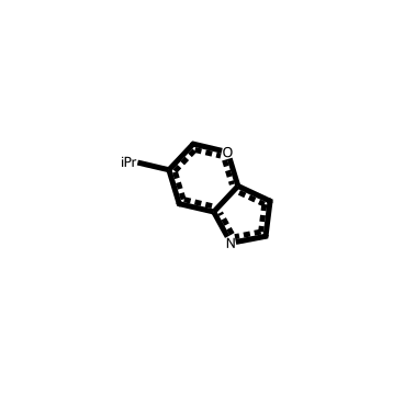 CC(C)c1coc2ccnc-2c1